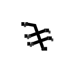 CCC(C)(C)C(C)(C)O